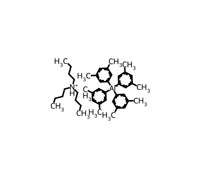 CCCC[NH+](CCCC)CCCC.Cc1cc(C)c[c]([Al-]([c]2cc(C)cc(C)c2)([c]2cc(C)cc(C)c2)[c]2cc(C)cc(C)c2)c1